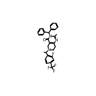 Cc1nc2c(c(=O)n1C(c1ccccc1)c1ccccc1)CN(C(C)c1ccc(C(F)(F)F)cc1F)CC2